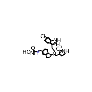 Cc1[nH]ccc1CN(CCc1c[nH]c2cc(Cl)ccc12)C1CCc2cc(/C=C/C(=O)NO)ccc21